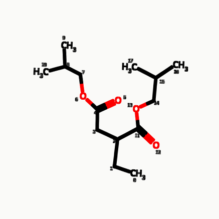 CCC(CC(=O)OCC(C)C)C(=O)OCC(C)C